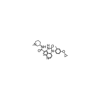 Cc1cc(OC2CC2)ccc1N1C(=O)Nc2c(C(=O)NC3CCCN(C)C3)sc3nccc1c23